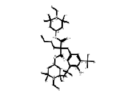 CCCCC(Cc1cc(C(C)(C)C)c(O)c(C(C)(C)C)c1)(C(=O)OC1CC(C)(C)N(CC)C(C)(C)C1)C(=O)OC1CC(C)(C)N(CC)C(C)(C)C1